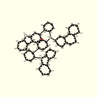 c1ccc(N(c2ccc(-c3ccccc3-n3c4ccccc4c4ccccc43)cc2)c2ccc3ccc4ccccc4c3c2)c(-c2ccc3c(c2)oc2ccccc23)c1